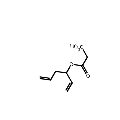 C=CCC(C=C)OC(=O)CC(=O)O